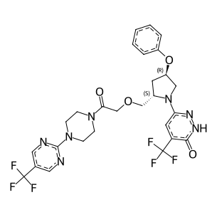 O=C(COC[C@@H]1C[C@@H](Oc2ccccc2)CN1c1cc(C(F)(F)F)c(=O)[nH]n1)N1CCN(c2ncc(C(F)(F)F)cn2)CC1